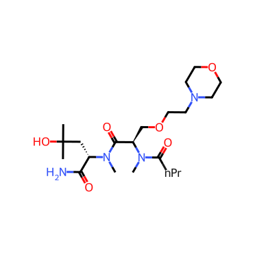 CCCC(=O)N(C)[C@H](COCCN1CCOCC1)C(=O)N(C)[C@@H](CC(C)(C)O)C(N)=O